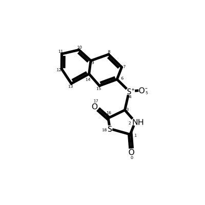 O=C1NC([S+]([O-])c2ccc3ccccc3c2)C(=O)S1